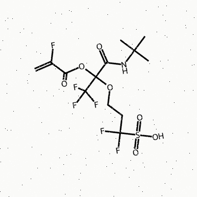 C=C(F)C(=O)OC(OCCC(F)(F)S(=O)(=O)O)(C(=O)NC(C)(C)C)C(F)(F)F